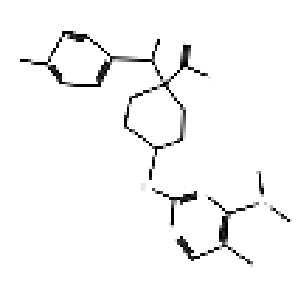 Cc1cnc(NC2CCC(C(N)=O)(C(C)c3ccc(Br)cc3)CC2)nc1N(C)C.Cl